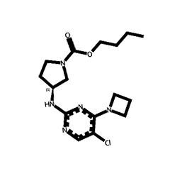 CCCCOC(=O)N1CC[C@H](Nc2ncc(Cl)c(N3CCC3)n2)C1